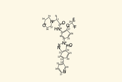 CC(C(=O)Nc1cc(-n2cnc3cc(-c4cccnc4)ccc3c2=O)ccc1OC(F)F)N1CCOCC1